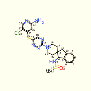 CC(C)(C)[S+]([O-])N[C@@H]1c2ccccc2CC12CCN(c1ncc(Sc3cc(N)ncc3Cl)nn1)CC2